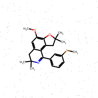 COc1cc2c(c3c1OC(C)(C)C3)C(c1cccc(SC)c1)=NC(C)(C)C2